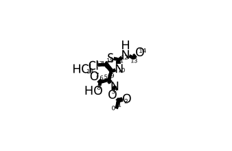 CC(=O)ON=C(C(=O)O)c1nc(NC=O)sc1Cl.Cl